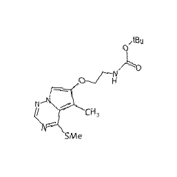 CSc1ncnn2cc(OCCNC(=O)OC(C)(C)C)c(C)c12